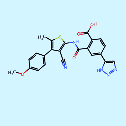 COc1ccc(-c2c(C)sc(NC(=O)c3cc(-c4cnn[nH]4)ccc3C(=O)O)c2C#N)cc1